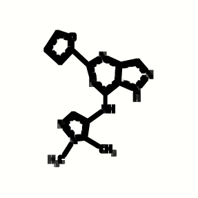 Cc1c(Nc2nc(-c3ccco3)nc3cn[nH]c23)cnn1C